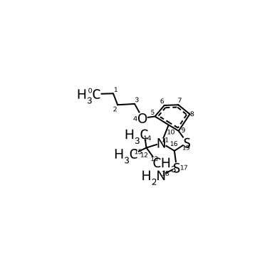 CCCCOc1cccc2c1N(C(C)(C)C)C(SN)S2